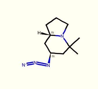 CC1(C)C[C@@H](N=[N+]=[N-])C[C@@H]2CCCN21